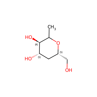 CC1O[C@H](CO)C[C@H](O)[C@H]1O